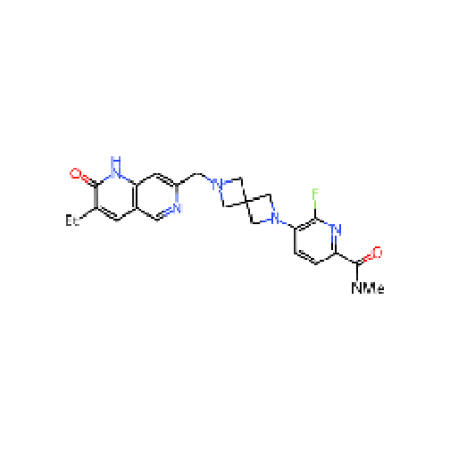 CCc1cc2cnc(CN3CC4(C3)CN(c3ccc(C(=O)NC)nc3F)C4)cc2[nH]c1=O